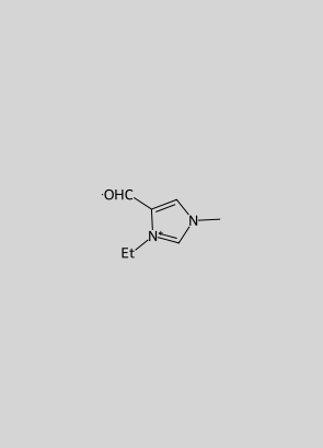 CC[n+]1cn(C)cc1[C]=O